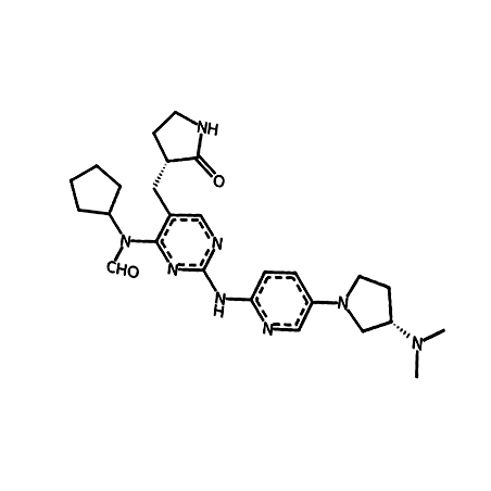 CN(C)[C@H]1CCN(c2ccc(Nc3ncc(C[C@@H]4CCNC4=O)c(N(C=O)C4CCCC4)n3)nc2)C1